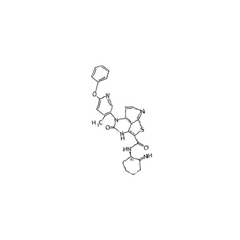 Cc1cc(Oc2ccccc2)ncc1N1C(=O)Nc2c(C(=O)N[C@@H]3CCCCC3=N)sc3nccc1c23